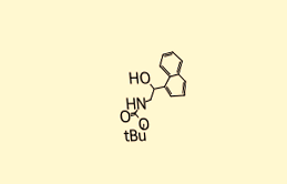 CC(C)(C)OC(=O)NCC(O)c1cccc2ccccc12